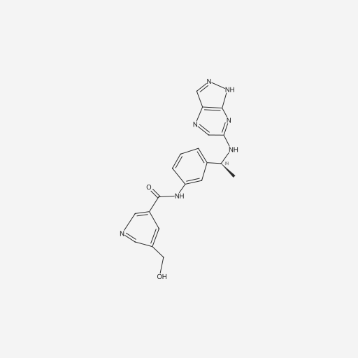 C[C@H](Nc1cnc2cn[nH]c2n1)c1cccc(NC(=O)c2cncc(CO)c2)c1